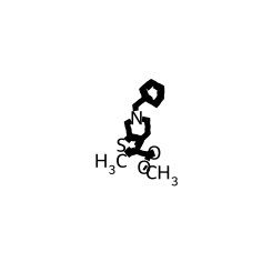 COC(=O)c1c(C)sc2c1CCN(Cc1ccccc1)C2